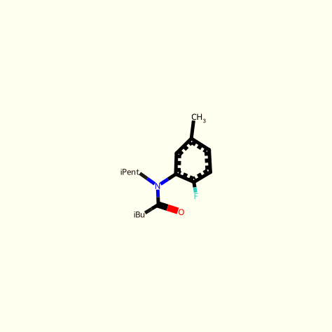 CCCC(C)N(C(=O)C(C)CC)c1cc(C)ccc1F